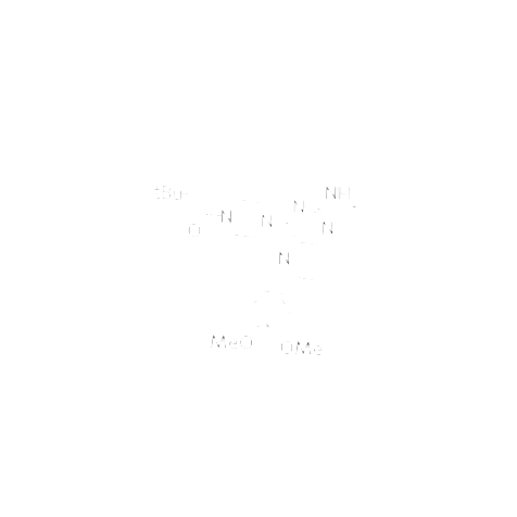 COc1ccc(-c2ccc3nc(N)nc(N4CCN(C(=O)CC(C)(C)C)CC4)c3n2)cc1OC